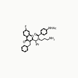 CC(=O)Nc1ccc(C(=O)N(CCCN)C(c2oc3cc(F)ccc3c(=O)c2Cc2ccccc2)C(C)C)cc1